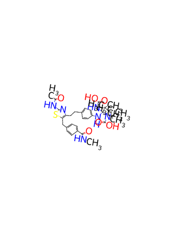 CNC(=O)c1ccc(Cc2sc(NC(C)=O)nc2CCc2ccc(NC(NC(=O)O)(N(C(=O)O)C(C)(C)C)C(C)(C)C)cc2)cc1